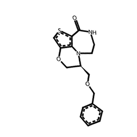 O=C1NCCN2c3c(csc31)OC[C@@H]2COCc1ccccc1